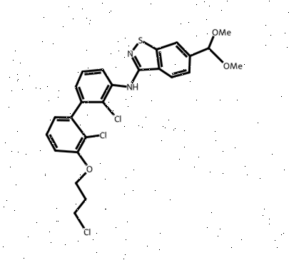 COC(OC)c1ccc2c(Nc3cccc(-c4cccc(OCCCCl)c4Cl)c3Cl)nsc2c1